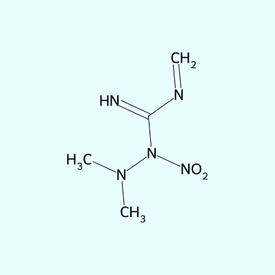 C=NC(=N)N(N(C)C)[N+](=O)[O-]